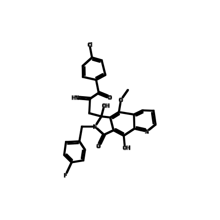 COc1c2c(c(O)c3ncccc13)C(=O)N(Cc1ccc(F)cc1)C2(O)CC(=N)C(=O)c1ccc(Cl)cc1